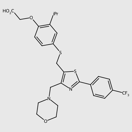 CC(C)c1cc(SCc2sc(-c3ccc(C(F)(F)F)cc3)nc2CN2CCOCC2)ccc1OCC(=O)O